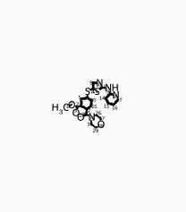 COC(=O)c1cc(Sc2cnc(Nc3ccccn3)s2)ccc1C(=O)N1CCOCC1